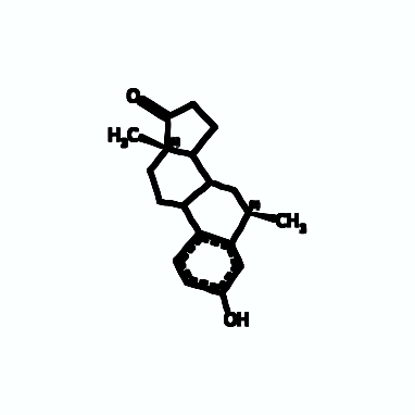 C[C@@H]1CC2C(CC[C@]3(C)C(=O)CCC23)c2ccc(O)cc21